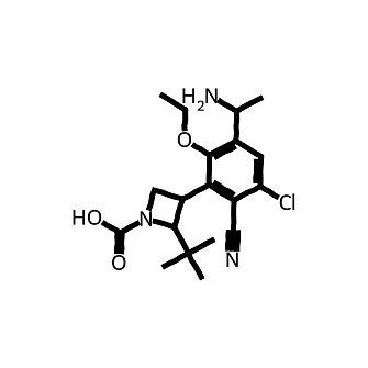 CCOc1c(C(C)N)cc(Cl)c(C#N)c1C1CN(C(=O)O)C1C(C)(C)C